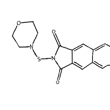 O=C1c2cc3ccccc3cc2C(=O)N1SN1CCOCC1